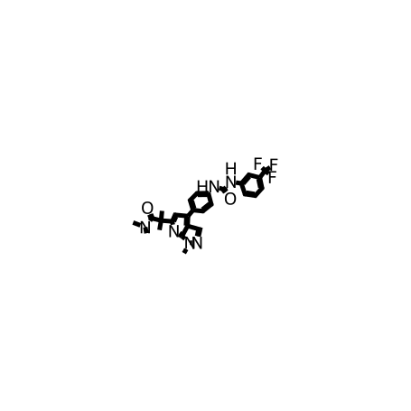 CN(C)C(=O)C(C)(C)c1cc(-c2ccc(NC(=O)Nc3cccc(C(F)(F)F)c3)cc2)c2cnn(C)c2n1